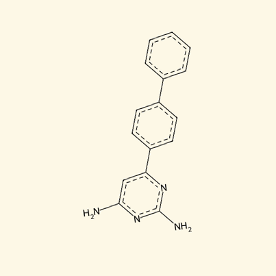 Nc1cc(-c2ccc(-c3ccccc3)cc2)nc(N)n1